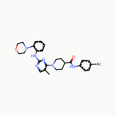 CC(=O)c1ccc(NC(=O)C2CCN(c3nc(Nc4ccccc4N4CCOCC4)ncc3C)CC2)cc1